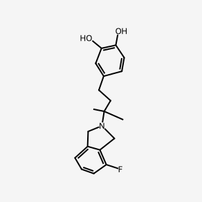 CC(C)(CCc1ccc(O)c(O)c1)N1Cc2cccc(F)c2C1